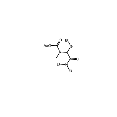 CC[N]C(C(=O)N(CC)CC)N(C)C(=O)NC